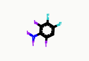 Fc1cc(I)c(N(I)I)c(I)c1F